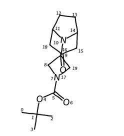 CC(C)(C)OC(=O)N1CC(N2C3CCC2CC(=O)C3)C1